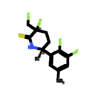 CC[C@@]1(c2cc([N+](=O)[O-])cc(F)c2F)CC[C@@](F)(CF)C(=S)N1